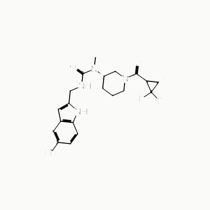 CN(C(=O)NCc1cc2cc(Cl)ccc2[nH]1)[C@@H]1CCCN(C(=O)C2CC2(F)F)C1